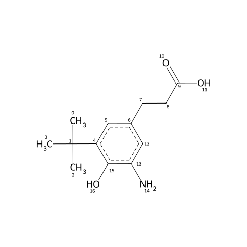 CC(C)(C)c1cc(CCC(=O)O)cc(N)c1O